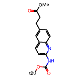 COC(=O)CCc1ccc2nc(NC(=O)OC(C)(C)C)ccc2c1